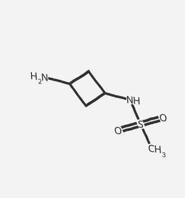 CS(=O)(=O)NC1CC(N)C1